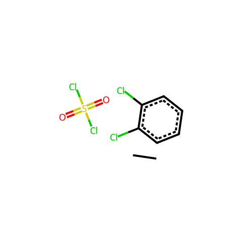 CC.Clc1ccccc1Cl.O=S(=O)(Cl)Cl